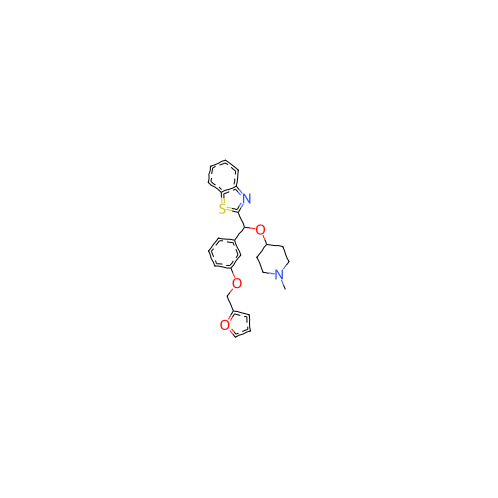 CN1CCC(OC(c2cccc(OCc3ccco3)c2)c2nc3ccccc3s2)CC1